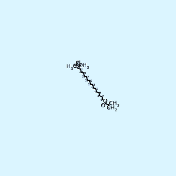 C=C(C)C(=O)OCCCCCCCCCCCCCCCCC[Si](C)(C)Cl